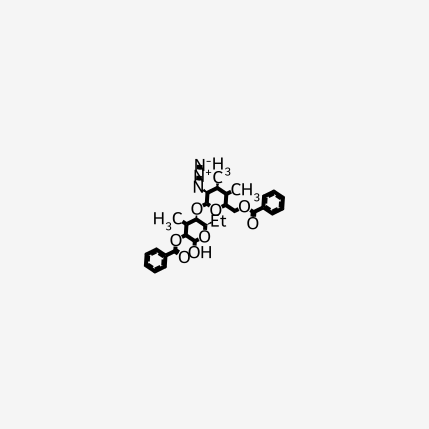 CC[C@@H]1OC(O)C(OC(=O)c2ccccc2)C(C)[C@@H]1OC1OC(COC(=O)c2ccccc2)C(C)[C@H](C)[C@@H]1N=[N+]=[N-]